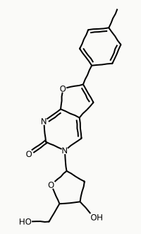 Cc1ccc(-c2cc3cn(C4CC(O)C(CO)O4)c(=O)nc3o2)cc1